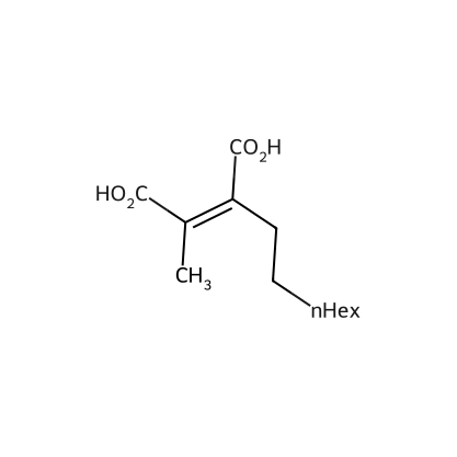 CCCCCCCCC(C(=O)O)=C(C)C(=O)O